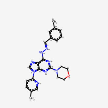 Cc1ccc(-n2cnc3c(N/N=C/c4cccc(C)c4)nc(N4CCOCC4)nc32)nc1